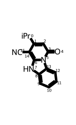 CC(C)c1cc(=O)n2c([nH]c3ccccc32)c1C#N